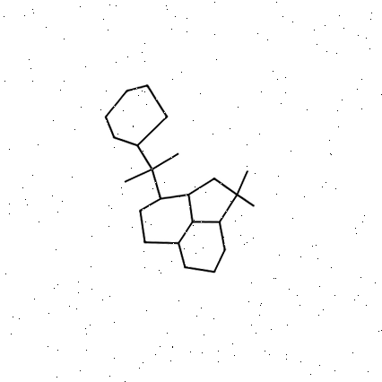 CC1(C)CC2C3C(CCCC31)CCC2C(C)(C)C1CCCCC1